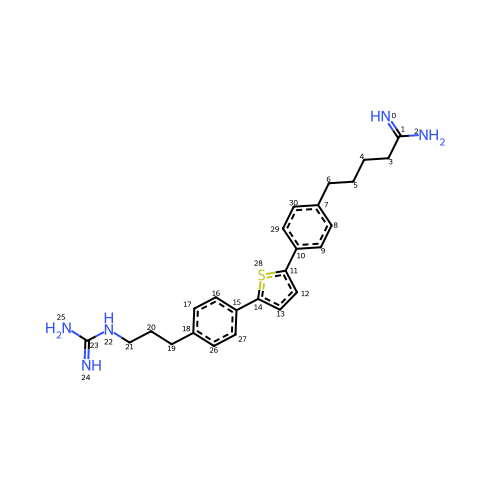 N=C(N)CCCCc1ccc(-c2ccc(-c3ccc(CCCNC(=N)N)cc3)s2)cc1